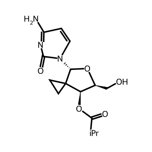 CC(C)C(=O)O[C@@H]1[C@H](CO)O[C@@H](n2ccc(N)nc2=O)C12CC2